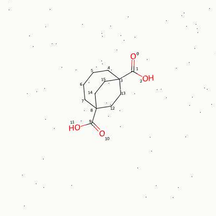 O=C(O)C12CCCCC(C(=O)O)(CC1)CC2